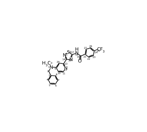 CN(Cc1ccccc1)c1ccnc(-c2nsc(NC(=O)c3ccc(C(F)(F)F)cc3)n2)c1